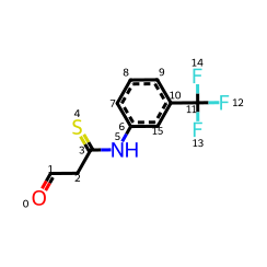 O=CCC(=S)Nc1cccc(C(F)(F)F)c1